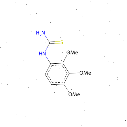 COc1ccc(NC(N)=S)c(OC)c1OC